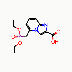 CCOP(=O)(Cc1cccc2nc(C(=O)O)cn12)OCC